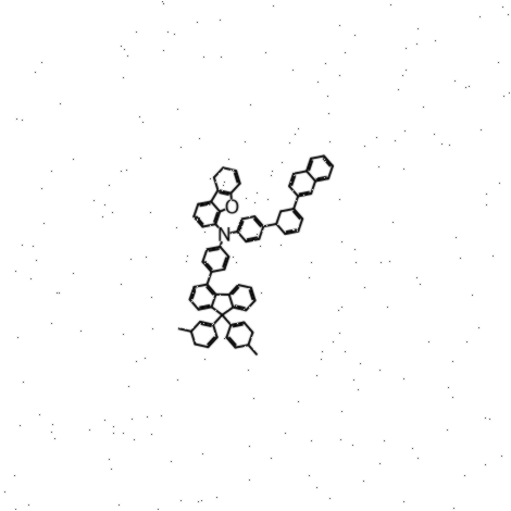 CC1C=CC(C2(C3=CC(C)CC=C3)c3ccccc3-c3c(-c4ccc(N(c5ccc(C6C=CC=C(c7ccc8ccccc8c7)C6)cc5)c5cccc6c7c(oc56)C=CCC7)cc4)cccc32)=CC1